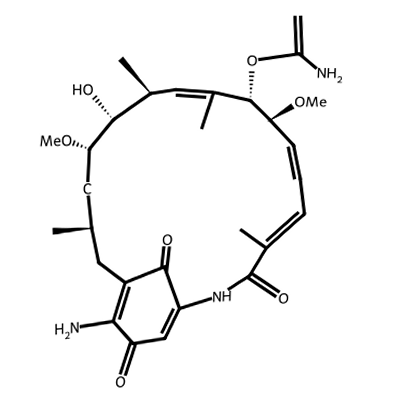 C=C(N)O[C@H]1/C(C)=C/[C@H](C)[C@@H](O)[C@@H](OC)C[C@H](C)CC2=C(N)C(=O)C=C(NC(=O)/C(C)=C/C=C\[C@@H]1OC)C2=O